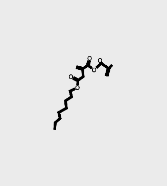 C=C(C)C(=O)OC(=O)C(=C)CC(=O)OCCCCCCCC